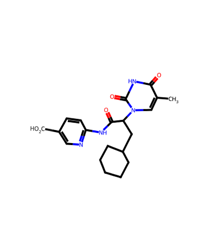 Cc1cn(C(CC2CCCCC2)C(=O)Nc2ccc(C(=O)O)cn2)c(=O)[nH]c1=O